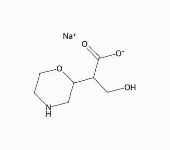 O=C([O-])C(CO)C1CNCCO1.[Na+]